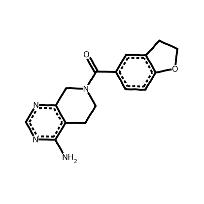 Nc1ncnc2c1CCN(C(=O)c1ccc3c(c1)CCO3)C2